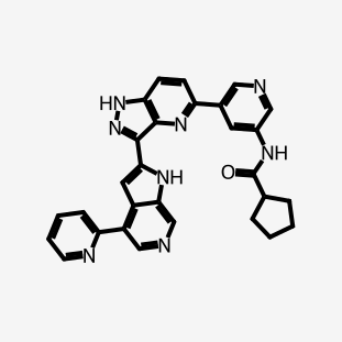 O=C(Nc1cncc(-c2ccc3[nH]nc(-c4cc5c(-c6ccccn6)cncc5[nH]4)c3n2)c1)C1CCCC1